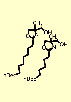 CCCCCCCCCCCCCCCC1=NC(C)(CO)CO1.CCCCCCCCCCCCCCCCCC1=NC(C)(CO)CO1